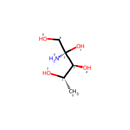 C[C@H](O)[C@H](O)[C@](N)(O)CO